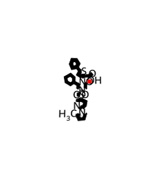 C[C@H]1CCCN1c1ccc(S(=O)(=O)N2CC(=O)N(c3cc(-c4ccccc4)sc3C(=O)O)C(C3CCCCC3)C2)cn1